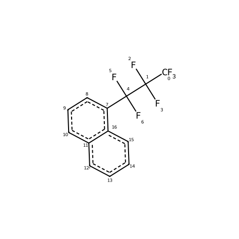 FC(F)(F)C(F)(F)C(F)(F)c1cccc2[c]cccc12